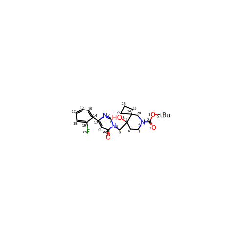 CC(C)(C)OC(=O)N1CCC(O)(Cn2cnc(-c3ccccc3F)cc2=O)C2(CCC2)C1